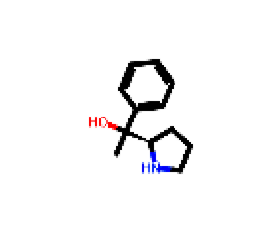 CC(O)(c1ccccc1)[C@H]1CCCN1